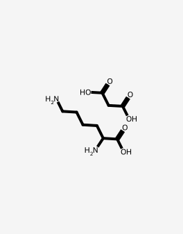 NCCCCC(N)C(=O)O.O=C(O)CC(=O)O